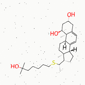 C[C@H](SCCCCCC(C)(C)O)[C@H]1CC[C@H]2C3=CC=C4C[C@@H](O)C[C@H](O)[C@]4(C)[C@H]3CC[C@]12C